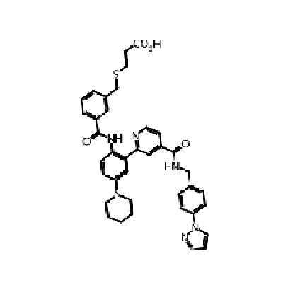 O=C(O)CCSCc1cccc(C(=O)Nc2ccc(N3CCCCC3)cc2-c2cc(C(=O)NCc3ccc(-n4cccn4)cc3)ccn2)c1